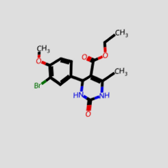 CCOC(=O)C1=C(C)NC(=O)NC1c1ccc(OC)c(Br)c1